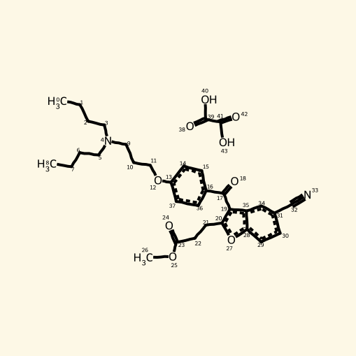 CCCCN(CCCC)CCCOc1ccc(C(=O)c2c(CCC(=O)OC)oc3ccc(C#N)cc23)cc1.O=C(O)C(=O)O